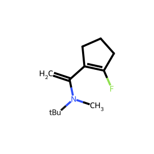 C=C(C1=C(F)CCC1)N(C)C(C)(C)C